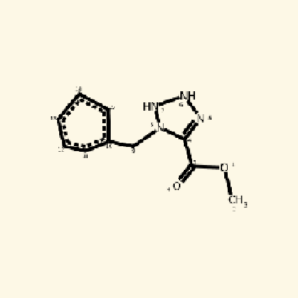 COC(=O)C1=NNNN1Cc1ccccc1